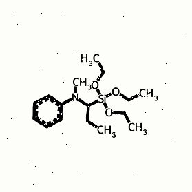 CCO[Si](OCC)(OCC)C(CC)N(C)c1ccccc1